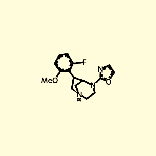 COc1cccc(F)c1C1C[N@]2CCN(c3ncco3)C1C2